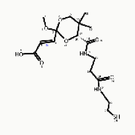 COC1(/C=C/C(=O)O)OCC(C)(C)[C@H](C(=O)NCCC(=O)NCCS)O1